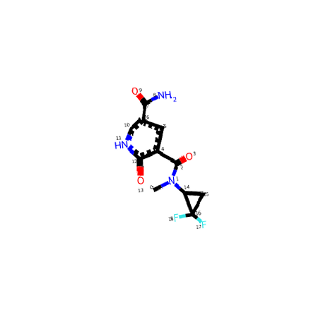 CN(C(=O)c1cc(C(N)=O)c[nH]c1=O)C1CC1(F)F